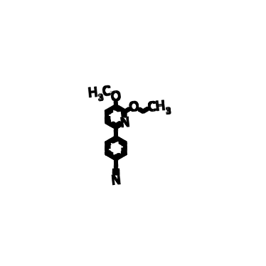 CCOc1nc(-c2ccc(C#N)cc2)ccc1OC